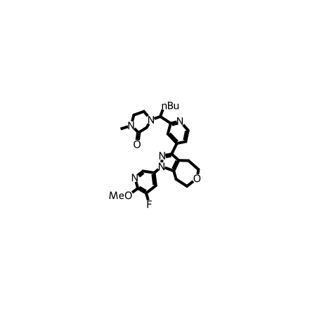 CCCCC(c1cc(-c2nn(-c3cnc(OC)c(F)c3)c3c2CCOCC3)ccn1)N1CCN(C)C(=O)C1